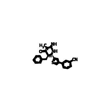 CN1C(=N)N[C@H](c2cc(-c3cccc(C#N)c3)cs2)[C@@H](Cc2ccccc2)C1=O